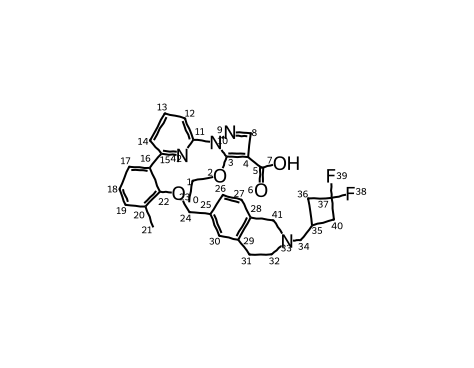 CCOc1c(C(=O)O)cnn1-c1cccc(-c2cccc(C)c2OCc2ccc3c(c2)CCN(CC2CC(F)(F)C2)C3)n1